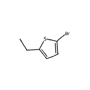 CCc1ccc(Br)s1